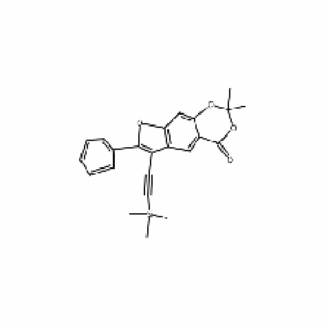 CC1(C)OC(=O)c2cc3c(C#C[Si](C)(C)C)c(-c4ccccc4)oc3cc2O1